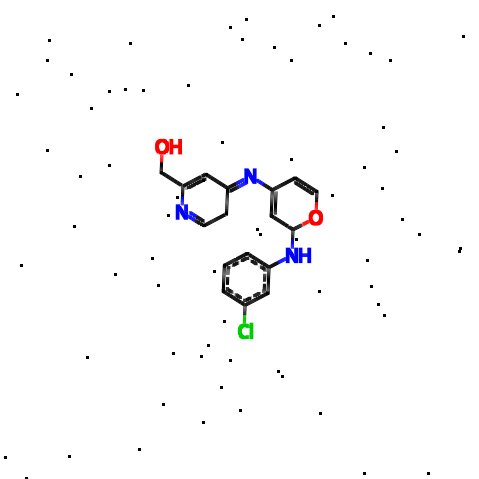 OCC1=CC(=NC2=CC(Nc3cccc(Cl)c3)OC=C2)CC=N1